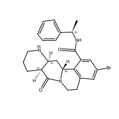 C[C@@H](NC(=O)c1cc(Br)cc2c1[C@H]1C[C@@H]3NCCC[C@@H]3C(=O)N1CC2)c1ccccc1